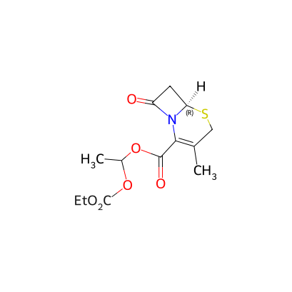 CCOC(=O)OC(C)OC(=O)C1=C(C)CS[C@@H]2CC(=O)N12